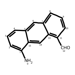 Nc1cccc2cc3cccc(C=O)c3cc12